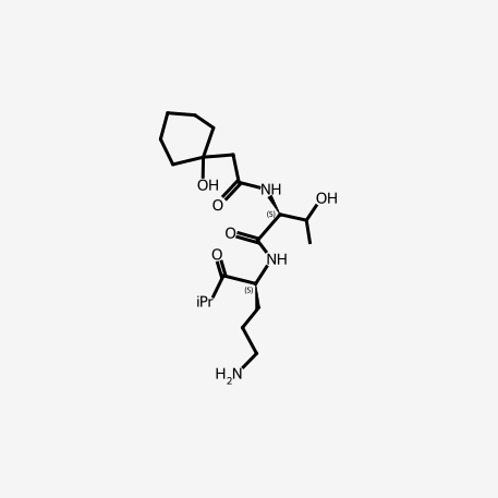 CC(C)C(=O)[C@H](CCCN)NC(=O)[C@@H](NC(=O)CC1(O)CCCCC1)C(C)O